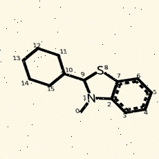 CN1c2ccccc2SC1C1CCCCC1